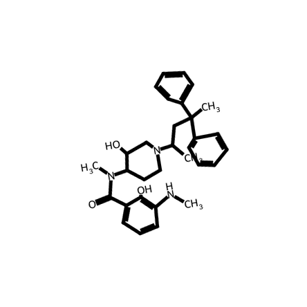 CNc1cccc(C(=O)N(C)C2CCN(C(C)CC(C)(c3ccccc3)c3ccccc3)CC2O)c1O